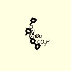 CCCCc1nc2c(OCc3ccccc3)ccc(C)c2n1Cc1ccc(-c2ccccc2C(=O)O)cc1